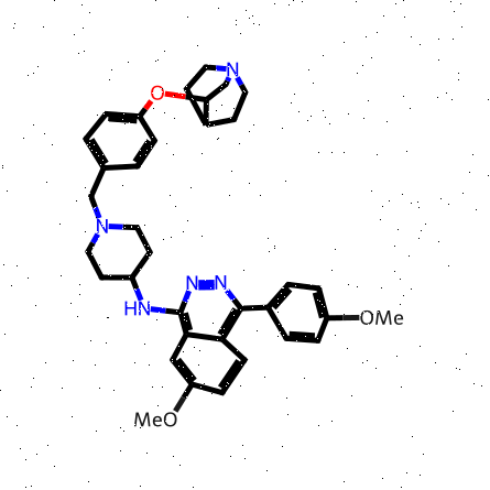 COc1ccc(-c2nnc(NC3CCN(Cc4ccc(OC5CN6CCC5CC6)cc4)CC3)c3cc(OC)ccc23)cc1